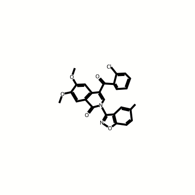 COc1cc2c(C(=O)c3ccccc3Cl)cn(-c3noc4ccc(C)cc34)c(=O)c2cc1OC